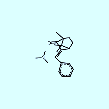 CC12CCC(C(=Cc3ccccc3)C1=O)C2(C)C.CN(C)C